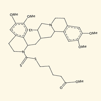 CCC1CN2CCc3cc(OC)c(OC)cc3C2CC1CC1c2cc(OC)c(OC)cc2CCN1C(=S)SCCCCC(=O)OC